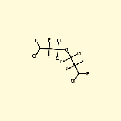 FC(Cl)C(F)(F)C(Cl)(Cl)OC(Cl)(Cl)C(F)(F)C(F)Cl